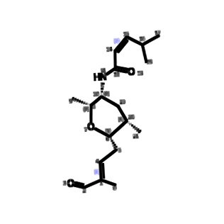 C/C(C=O)=C\C[C@@H]1O[C@H](C)[C@H](NC(=O)/C=C\C(C)C)C[C@@H]1C